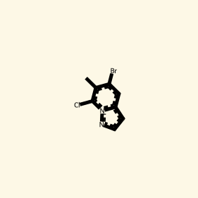 Cc1c(Br)cc2ccnn2c1Cl